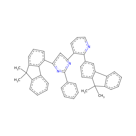 CC1(C)c2ccccc2-c2cc(-c3ncccc3-c3cc(-c4cccc5c4-c4ccccc4C5(C)C)nc(-c4ccccc4)n3)ccc21